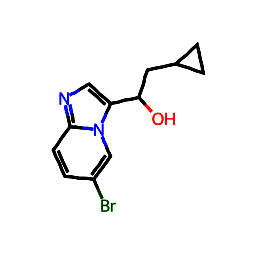 OC(CC1CC1)c1cnc2ccc(Br)cn12